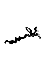 CCCCCCCCCCNC(=O)[C@@H](N)[C@@H](C)CC